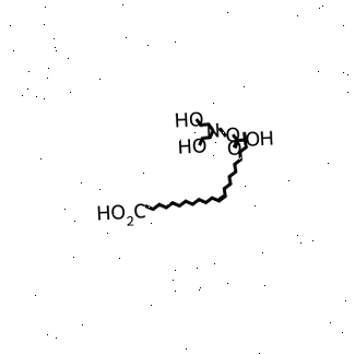 CC(O)(CCCCCCCC/C=C\CCCCCCCCCCCC(=O)O)C(=O)OCCN(CCO)CCO